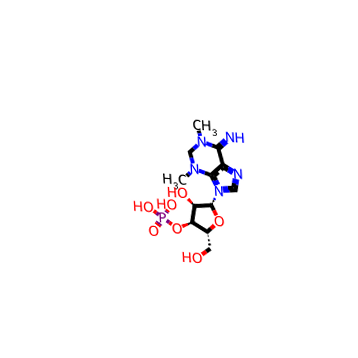 CN1CN(C)c2c(ncn2[C@@H]2O[C@H](CO)[C@@H](OP(=O)(O)O)[C@H]2O)C1=N